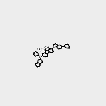 CC1(C)c2cc(N(c3ccc4ccccc4c3)C3C=CC=CC3)ccc2-c2ccc(-n3ccc4cc(-c5ccccc5)ccc43)cc21